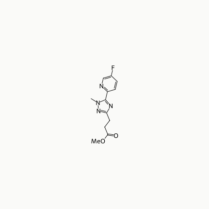 COC(=O)CCc1nc(-c2ccc(F)cn2)n(C)n1